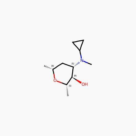 C[C@@H]1C[C@H](N(C)C2CC2)[C@@H](O)[C@H](C)O1